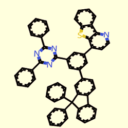 c1ccc(-c2nc(-c3ccccc3)nc(-c3cc(-c4ccc5c(c4)C(c4ccccc4)(c4ccccc4)c4ccccc4-5)cc(-c4ccnc5c4sc4ccccc45)c3)n2)cc1